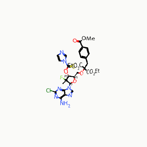 CCOC(=O)C(Cc1ccc(C(=O)OC)cc1)(OC[C@H]1O[C@@H](n2cnc3c(N)nc(Cl)nc32)[C@](C)(F)[C@@H]1OC(=S)n1ccnc1)C(=O)OCC